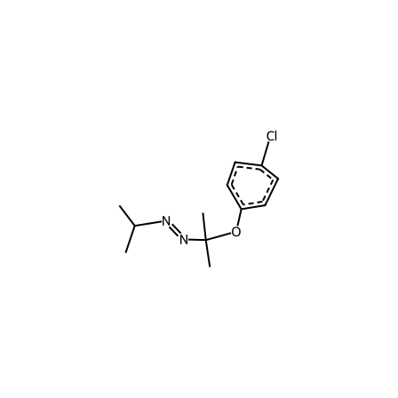 CC(C)N=NC(C)(C)Oc1ccc(Cl)cc1